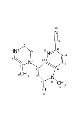 CC1=CNCCN1c1cc(=O)n(C)c2ccc(C#N)nc12